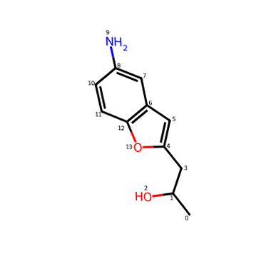 CC(O)Cc1cc2cc(N)ccc2o1